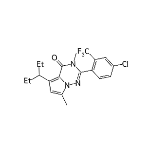 CCC(CC)c1cc(C)n2nc(-c3ccc(Cl)cc3C(F)(F)F)n(C)c(=O)c12